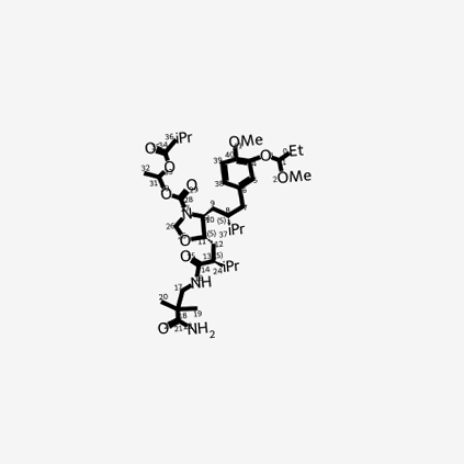 CCC(OC)Oc1cc(C[C@@H](C[C@H]2[C@H](C[C@H](C(=O)NCC(C)(C)C(N)=O)C(C)C)OCN2C(=O)OC(C)OC(=O)C(C)C)C(C)C)ccc1OC